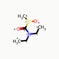 CCN(CC)C(=O)[S+](C)[O-]